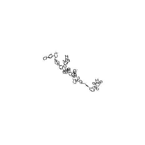 CC1(C)CCC(CN2CCN(c3ccc(C(=O)NS(=O)(=O)c4ccc(NCC5CCCN(C(=O)COCCC#Cc6cccc7c6CN(C6CCC(=O)NC6=O)C7=O)C5)c([N+](=O)[O-])c4)c(Oc4cnc5[nH]ccc5c4)c3)CC2)=C(c2ccc(Cl)cc2)C1